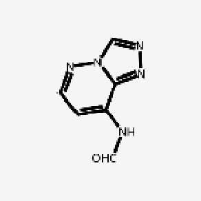 O=CNc1c[c]nn2cnnc12